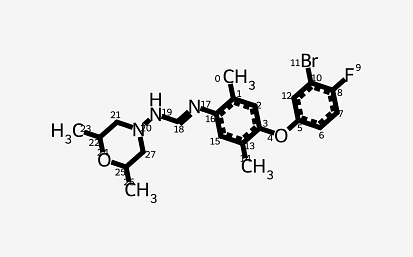 Cc1cc(Oc2ccc(F)c(Br)c2)c(C)cc1N=CNN1CC(C)OC(C)C1